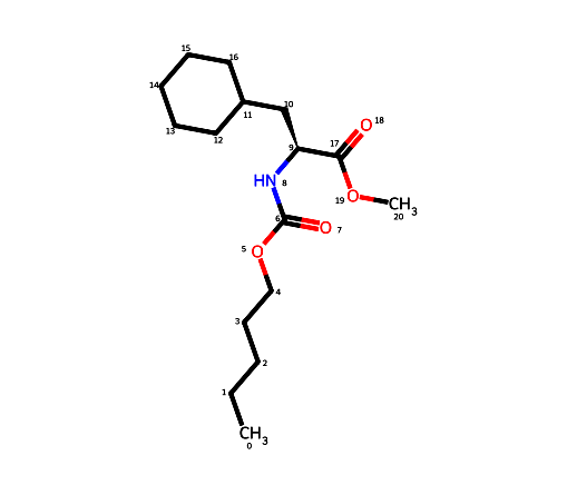 CCCCCOC(=O)N[C@@H](CC1CCCCC1)C(=O)OC